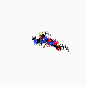 Cc1cc(-n2nc3c(c2N2C=CN(c4ccc5c(cnn5C5CC5)c4F)C2=C=O)[C@H](C)N(C(=O)c2cc4cc([C@@H]5CCOC(C)(C)C5)ccc4n2C2(c4noc(=O)[nH]4)CCOCC2)CC3)cc(C)c1F